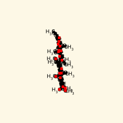 CCCC(CC)(OCOC)c1ccc(-c2ccc(C3(OCOC)CCC(OCOC)(c4ccc(-c5ccc(C(CC)(CCC(C)(OCOC)c6ccc(-c7ccc(C8(OCOC)CCC(OCOC)(c9ccc(-c%10ccc(COCOC)cc%10)cc9)CC8)cc7)cc6)OCOC)cc5)cc4)CC3)cc2)cc1